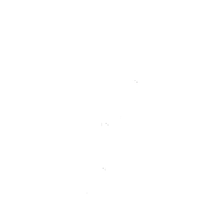 Cc1cccc(-c2ccc(C(=O)NC3CCN(CC(F)(F)F)CC3)cn2)c1